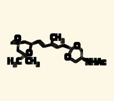 CC(=O)N[C@H]1CO[C@@H](C/C=C(C)/C=C/[C@@H]2C[C@]3(CO3)CC(C)(C)O2)OC1